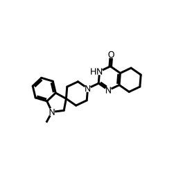 CN1CC2(CCN(c3nc4c(c(=O)[nH]3)CCCC4)CC2)c2ccccc21